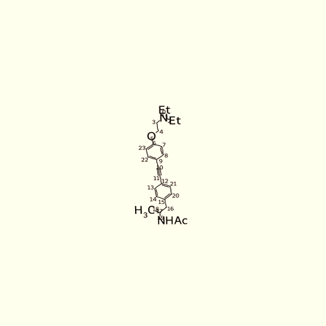 CCN(CC)CCOc1ccc(C#Cc2ccc(CC(C)NC(C)=O)cc2)cc1